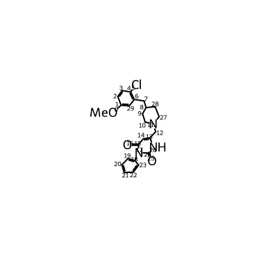 COc1ccc(Cl)c(CC2CCN(Cc3cc(=O)n(-c4ccccc4)c(=O)[nH]3)CC2)c1